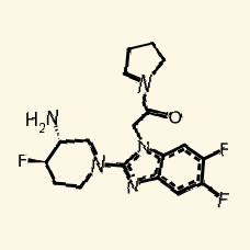 N[C@@H]1CN(c2nc3cc(F)c(F)cc3n2CC(=O)N2CCCC2)CC[C@H]1F